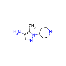 Cc1c(N)cnn1C1CC[N]CC1